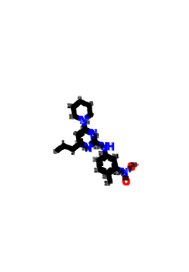 CCCc1cc(N2CCCCC2)nc(Nc2ccc(C)c([N+](=O)[O-])c2)n1